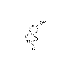 O=[13c]1ccc2ccc(O)cc2o1